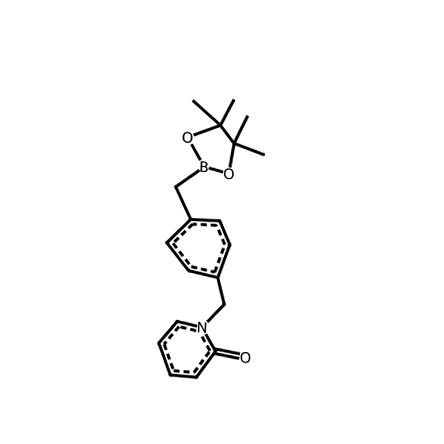 CC1(C)OB(Cc2ccc(Cn3ccccc3=O)cc2)OC1(C)C